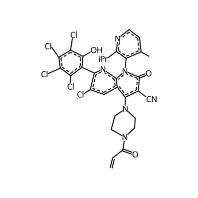 C=CC(=O)N1CCN(c2c(C#N)c(=O)n(-c3c(C)ccnc3C(C)C)c3nc(-c4c(O)c(Cl)c(Cl)c(Cl)c4Cl)c(Cl)cc23)CC1